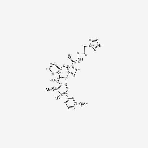 COc1cccc(-c2ccc(C(=O)N3Cc4ccc(C(=O)NCCCn5ccnc5)n4Cc4ccccc43)c(OC)c2Cl)c1